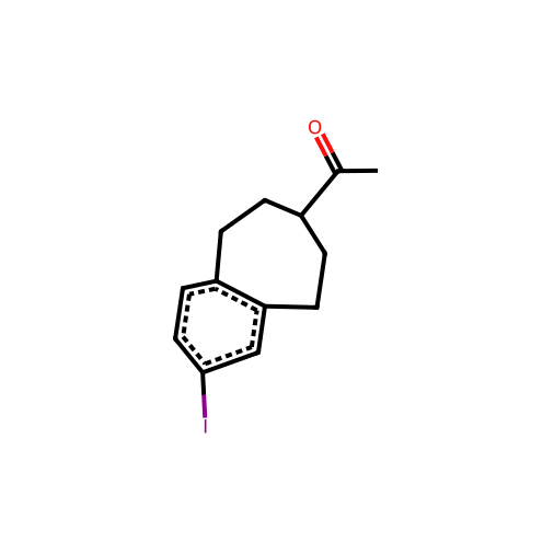 CC(=O)C1CCc2ccc(I)cc2CC1